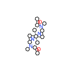 c1ccc(-c2c3c4cccc5c6ccc(N(c7ccccc7)c7cccc8c7oc7ccccc78)cc6n(c3c(-c3ccccc3)c3c6cccc7c8ccc(N(c9ccccc9)c9ccc%10oc%11ccccc%11c%10c9)cc8n(c23)c76)c54)cc1